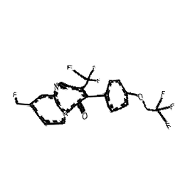 O=c1c(-c2ccc(OCC(F)(F)F)cc2)c(C(F)(F)F)nc2cc(CF)ccn12